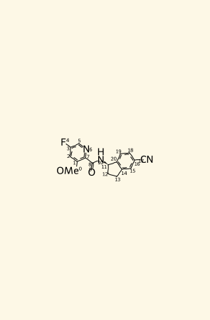 COc1cc(F)cnc1C(=O)N[C@@H]1CCc2cc(C#N)ccc21